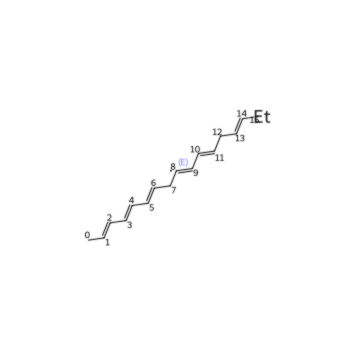 CC=CC=CC=CC/[C]=C/C=CCC=CCC